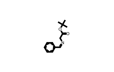 CC(C)(C)OC(=O)C/N=C\c1ccccc1